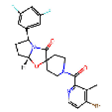 Cc1c(Br)ccnc1C(=O)N1CCC2(CC1)O[C@@H]1CC[C@@H](c3cc(F)cc(F)c3)N1C2=O